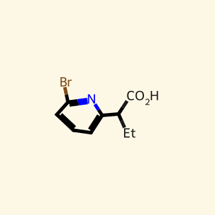 CCC(C(=O)O)c1cccc(Br)n1